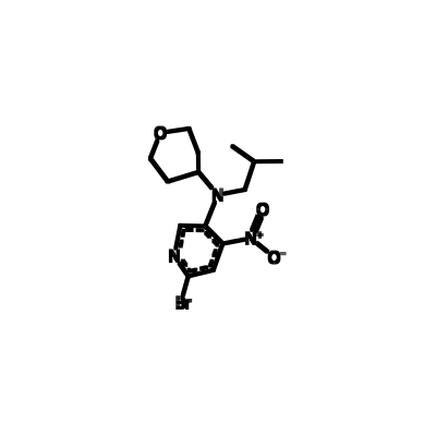 CC(C)CN(c1cnc(Br)cc1[N+](=O)[O-])C1CCOCC1